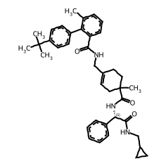 Cc1cccc(C(=O)NCC2=CCC(C)(C(=O)N[C@H](C(=O)NCC3CC3)c3ccccc3)CC2)c1-c1ccc(C(C)(C)C)cc1